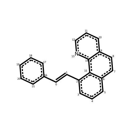 C(=Cc1cccc2ccc3cccnc3c12)c1ccccc1